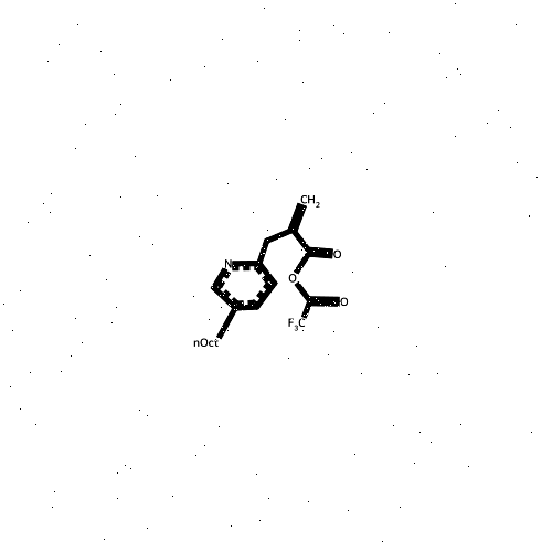 C=C(Cc1ccc(CCCCCCCC)cn1)C(=O)OC(=O)C(F)(F)F